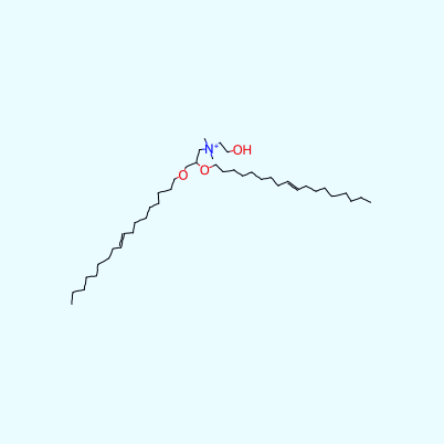 CCCCCCCCC=CCCCCCCCCOCC(C[N+](C)(C)CCO)OCCCCCCCCC=CCCCCCCCC